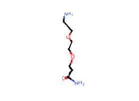 NCCOCCOCCC(N)=O